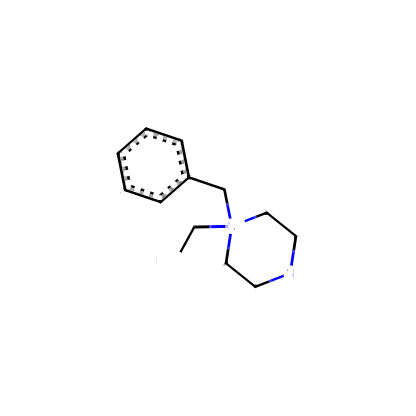 CC[N+]1(Cc2ccccc2)CCNCC1